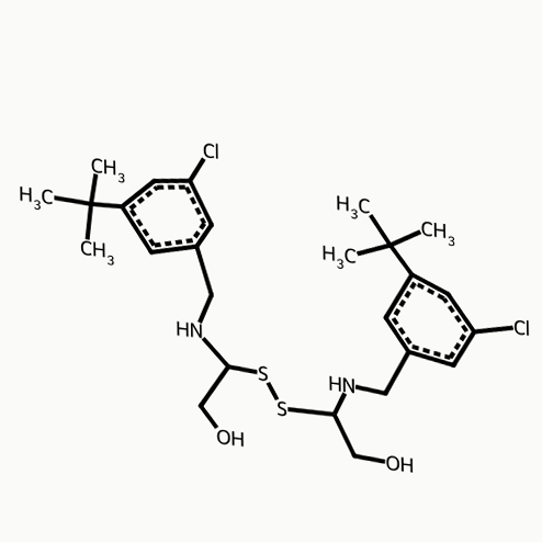 CC(C)(C)c1cc(Cl)cc(CNC(CO)SSC(CO)NCc2cc(Cl)cc(C(C)(C)C)c2)c1